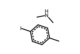 CNC.Cc1ccc(I)cc1